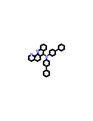 c1ccc(-c2ccc(N(c3ccc(-c4ccccc4)cc3)c3c4ccccc4nc4c3ccc3cccnc34)cc2)cc1